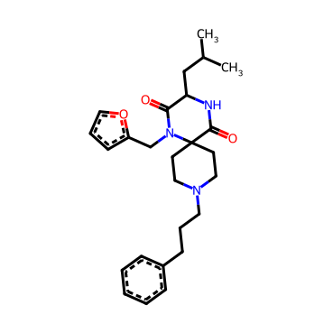 CC(C)CC1NC(=O)C2(CCN(CCCc3ccccc3)CC2)N(Cc2ccco2)C1=O